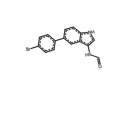 O=CNc1c[nH]c2ccc(-c3ccc(Br)cc3)cc12